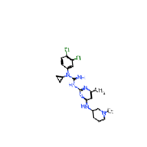 CCN1CCCC(Nc2cc(C)nc(NC(=N)N(c3ccc(Cl)c(Cl)c3)C3CC3)n2)C1